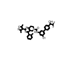 CCc1cc(NC(=O)N2CCc3nc(-c4c(C)noc4C)nc(-c4ccccc4C)c3C2)cc(-c2ccc(C(O)C(F)F)cc2)c1